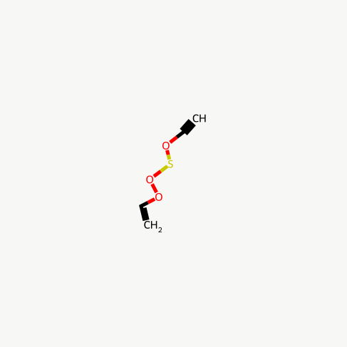 C#COSOOC=C